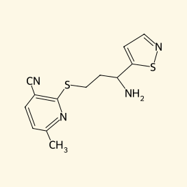 Cc1ccc(C#N)c(SCCC(N)c2ccns2)n1